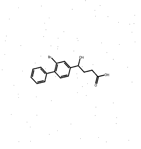 O=C(O)CCC(O)c1ccc(-c2ccccc2)c(Br)c1